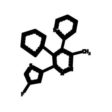 Cc1nnc(-c2cc(F)cs2)c(-c2ccccc2)c1-c1ccccn1